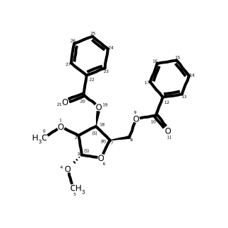 COC1[C@@H](OC)O[C@H](COC(=O)c2ccccc2)[C@@H]1OC(=O)c1ccccc1